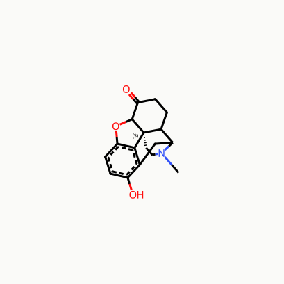 CN1CC[C@@]23c4c5ccc(O)c4CC1C2CCC(=O)C3O5